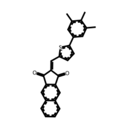 Cc1cc(-c2ccc(C=C3C(=O)c4cc5ccccc5cc4C3=O)s2)cc(C)c1C